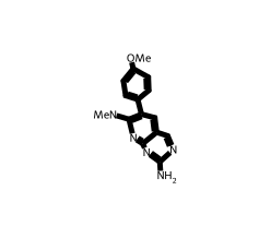 CNc1nc2nc(N)ncc2cc1-c1ccc(OC)cc1